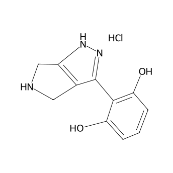 Cl.Oc1cccc(O)c1-c1n[nH]c2c1CNC2